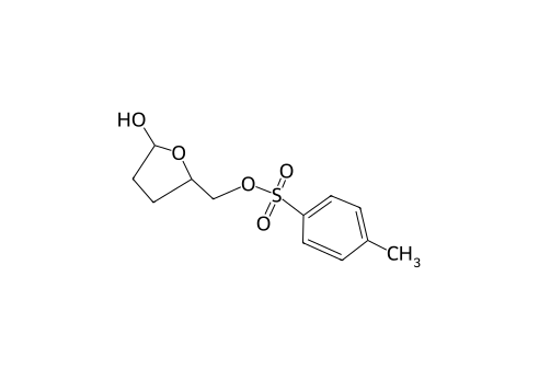 Cc1ccc(S(=O)(=O)OCC2CCC(O)O2)cc1